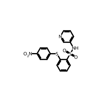 O=[N+]([O-])c1ccc(Sc2ccccc2S(=O)(=O)Nc2cccnc2)cc1